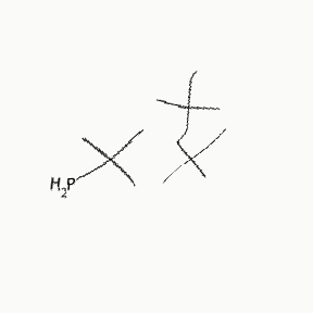 CC(C)(C)CC(C)(C)C.CC(C)(C)P